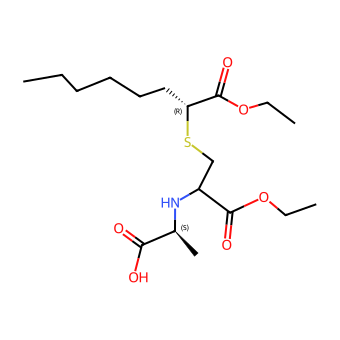 CCCCCC[C@@H](SCC(N[C@@H](C)C(=O)O)C(=O)OCC)C(=O)OCC